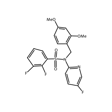 COc1ccc(CN(c2ccc(F)cn2)S(=O)(=O)c2cccc(F)c2F)c(OC)c1